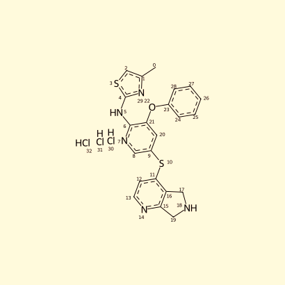 Cc1csc(Nc2ncc(Sc3ccnc4c3CNC4)cc2Oc2ccccc2)n1.Cl.Cl.Cl